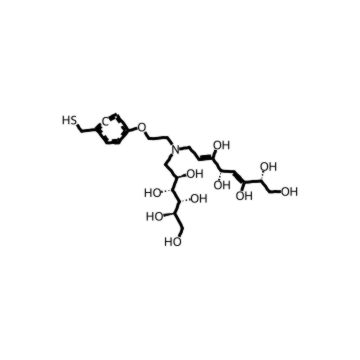 OC[C@@H](O)C(O)=C[C@H](O)C(O)=CCN(CCOc1ccc(CS)cc1)C[C@@H](O)[C@@H](O)[C@H](O)[C@H](O)CO